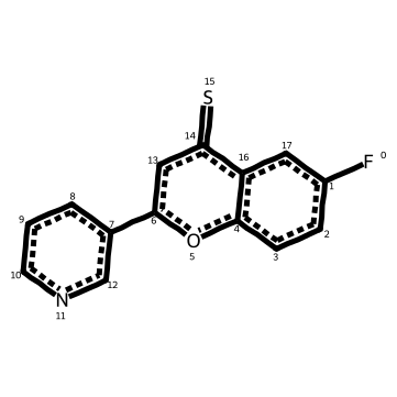 Fc1ccc2oc(-c3cccnc3)cc(=S)c2c1